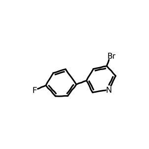 Fc1ccc(-c2cncc(Br)c2)cc1